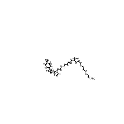 CCCCCCCCCCCCCCCCCC1COC(COCCCCCCCN2C=CSC2OS(=O)(=O)c2ccc(C)cc2)C1